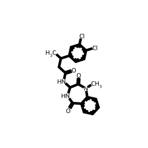 CC(CC(=O)NC1NC(=O)c2ccccc2N(C)C1=O)c1ccc(Cl)c(Cl)c1